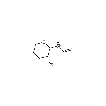 C=C[SiH2]C1CCCCO1.[Pt]